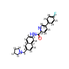 O=C(Nc1ccc2cc(CN3CCCC3)ccc2c1)c1ccc(-c2ccc(F)cc2)cn1